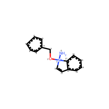 N[N+]1(OCc2ccccc2)C=Cc2ccccc21